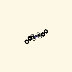 O=C(/C=C/C(=O)Oc1ccc(C2CCCCC2)cc1)Oc1ccc(C2CCCCC2)cc1